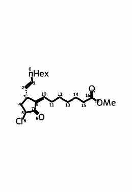 CCCCCCC=C[C@H]1CC(Cl)C(=O)C1=CCCCCCC(=O)OC